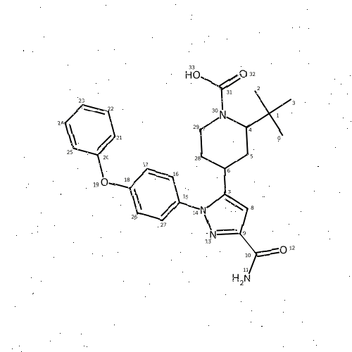 CC(C)(C)C1CC(c2cc(C(N)=O)nn2-c2ccc(Oc3ccccc3)cc2)CCN1C(=O)O